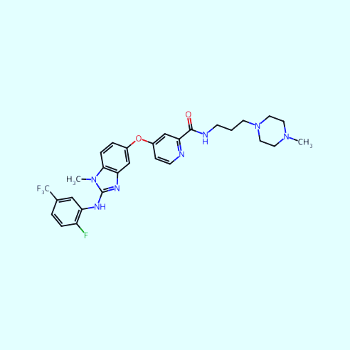 CN1CCN(CCCNC(=O)c2cc(Oc3ccc4c(c3)nc(Nc3cc(C(F)(F)F)ccc3F)n4C)ccn2)CC1